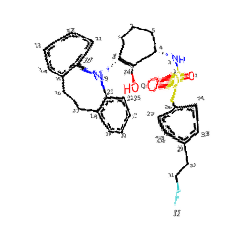 O=S(=O)(N[C@H]1CCC[C@@H](N2c3ccccc3CCc3ccccc32)[C@@H]1O)c1ccc(CCF)cc1